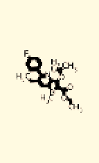 CCOC(=O)c1c(OC(C)C)c2nc(-c3ccc(F)cc3)c(CC)cc2n1C